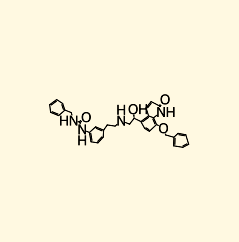 O=C(NCc1ccccc1)Nc1cccc(CCNC[C@@H](O)c2ccc(OCc3ccccc3)c3[nH]c(=O)ccc23)c1